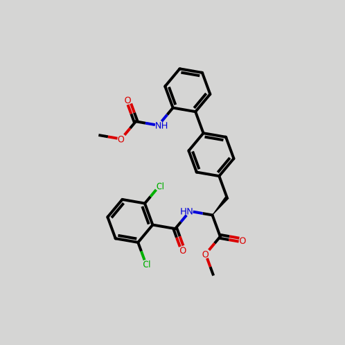 COC(=O)Nc1ccccc1-c1ccc(C[C@H](NC(=O)c2c(Cl)cccc2Cl)C(=O)OC)cc1